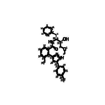 COC[C@@H](O)[C@@H](Cc1ncccn1)NC(=O)c1cccc(F)c1-c1cc(-c2ccc(F)cc2)[nH]n1